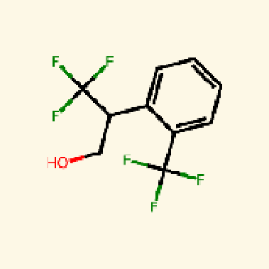 OCC(c1ccccc1C(F)(F)F)C(F)(F)F